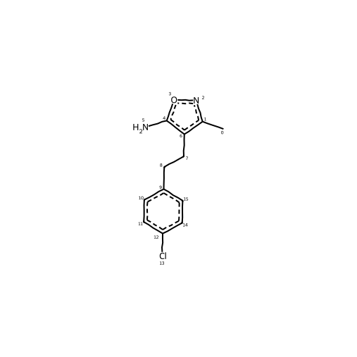 Cc1noc(N)c1CCc1ccc(Cl)cc1